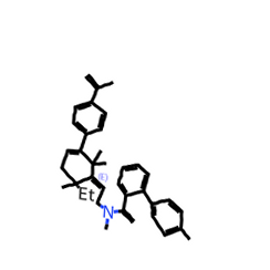 C=C(C)c1ccc(C2=CCC(C)(CC)/C(=C\CN(C)C(=C)c3ccccc3-c3ccc(C)cc3)C2(C)C)cc1